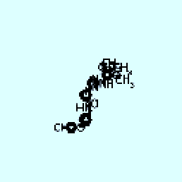 COc1cc(Nc2nccc(N3CCC[C@H](C(=O)NCc4ccc(Oc5ccc(Cl)cc5)cc4)C3)n2)cc(OC)c1OC